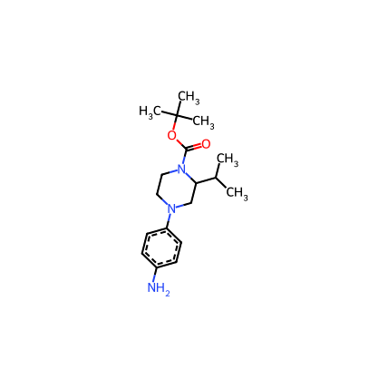 CC(C)C1CN(c2ccc(N)cc2)CCN1C(=O)OC(C)(C)C